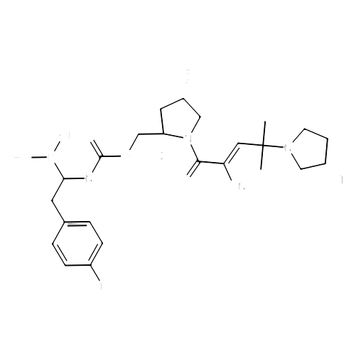 CC(C)(C=C(C#N)C(=O)N1C[C@@H](F)C[C@]1(C)COC(=O)NC(Cc1ccc(F)cc1)B(O)O)N1CC[C@H](F)C1